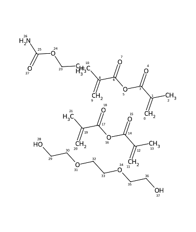 C=C(C)C(=O)OC(=O)C(=C)C.C=C(C)C(=O)OC(=O)C(=C)C.CCOC(N)=O.OCCOCCOCCO